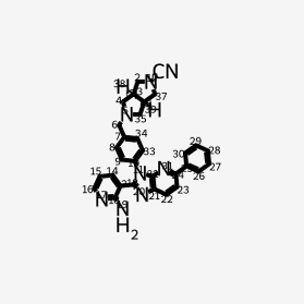 N#CN1C[C@@H]2CN(Cc3ccc(-n4c(-c5cccnc5N)nc5ccc(-c6ccccc6)nc54)cc3)C[C@@H]2C1